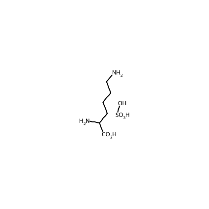 NCCCCC(N)C(=O)O.O=S(=O)(O)O